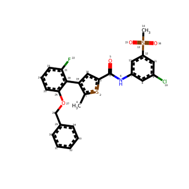 Cc1sc(C(=O)Nc2cc(Cl)cc(S(C)(=O)=O)c2)cc1-c1c(F)cccc1OCc1ccccc1